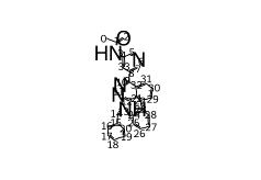 CC(=O)Nc1cncc(-c2nnc(NCc3ccccc3)c3c(-c4ccccc4)cccc23)c1